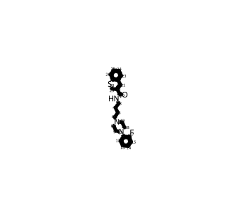 O=C(NCCCCN1CCN(c2ccccc2F)CC1)C1=Cc2ccccc2SC1